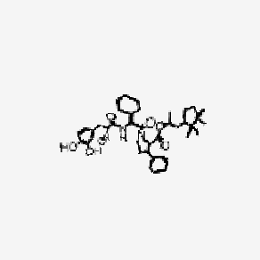 CC(CC1CCC(C)(C)C1(C)C)OC(=O)C1C(c2ccccc2)CCN1C(=O)C(NC(=O)C(Cc1ccc(O)c(O)c1)N=O)C1CCCCC1